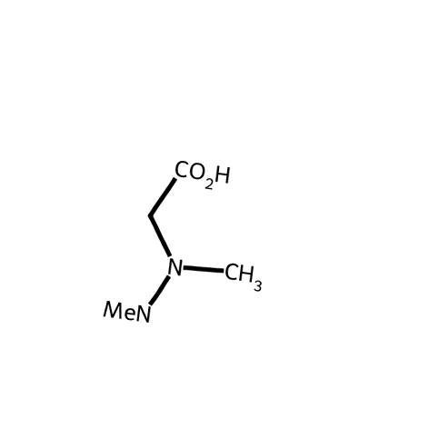 CNN(C)CC(=O)O